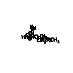 COCC(O)CN1CCC(c2ccc(Nc3nc(-c4cncnc4)cc4cc[nH]c(=O)c34)cc2C)CC1